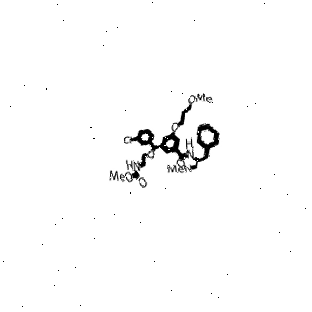 CNC[C@H](CC1CCCCC1)NC(=O)c1cc(OCCCOC)cc(C(OCCNC(=O)OC)c2cccc(Cl)c2)c1